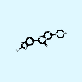 Cc1nc2ccc(-c3cc(=O)n4cc(N5CCNCC5)ncc4n3)cc2o1